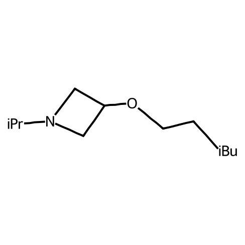 CCC(C)CCOC1CN(C(C)C)C1